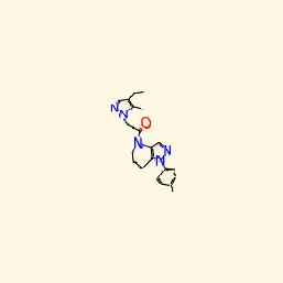 CCc1cnn(CC(=O)N2CCCc3c2cnn3-c2ccc(C)cc2)c1C